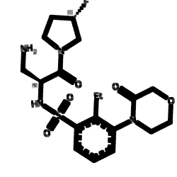 CCc1c(N2CCOCC2=O)cccc1S(=O)(=O)N[C@@H](CN)C(=O)N1CC[C@H](F)C1